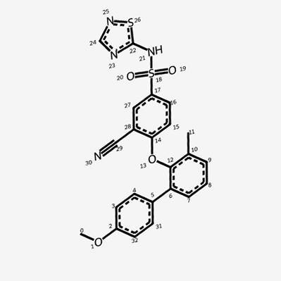 COc1ccc(-c2cccc(C)c2Oc2ccc(S(=O)(=O)Nc3ncns3)cc2C#N)cc1